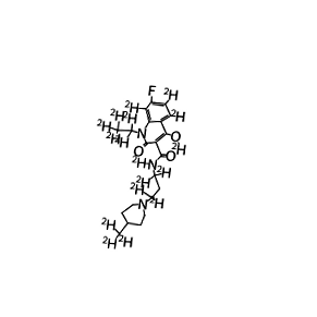 [2H]Oc1c(C(=O)N([2H])C([2H])([2H])CC([2H])([2H])N2CCC(C([2H])([2H])[2H])CC2)c(=O)n(C([2H])([2H])C([2H])([2H])[2H])c2c([2H])c(F)c([2H])c([2H])c12